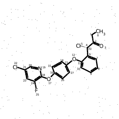 CCC(=O)[C@@H](Cl)c1ccccc1Oc1ccc(Oc2ncc(Cl)cc2F)cc1